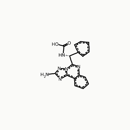 Nc1nc2c3ccccc3nc([C@H](NC(=O)O)c3ccccc3)n2n1